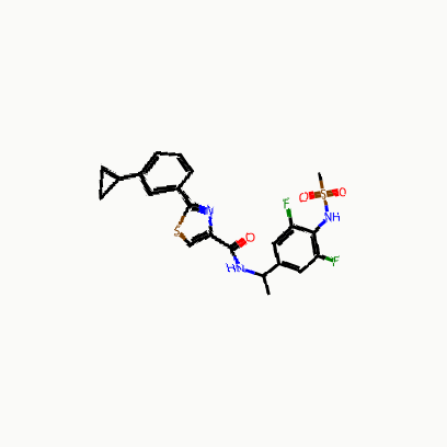 CC(NC(=O)c1csc(-c2cccc(C3CC3)c2)n1)c1cc(F)c(NS(C)(=O)=O)c(F)c1